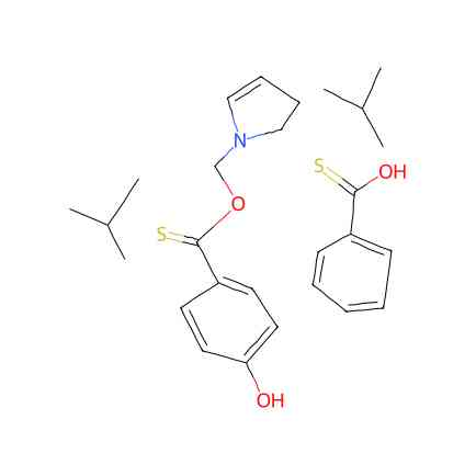 CC(C)C.CC(C)C.OC(=S)c1ccccc1.Oc1ccc(C(=S)OCN2C=CCC2)cc1